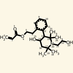 C=CC(=O)OCCc1ccccc1C1C(O)CC(C)(C)N(CCO)C1(C)C